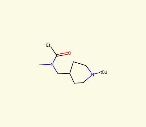 CCC(=O)N(C)CC1CCN(C(C)(C)C)CC1